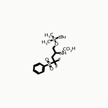 CC(C)(C)[Si](C)(C)OCC(CC(F)(F)S(=O)(=O)c1ccccc1)NC(=O)O